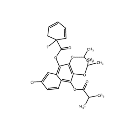 CC(C)Oc1c(OC(C)C)c(OC(=O)C2(F)C=CC=CC2)c2cc(Cl)ccc2c1OC(=O)C(C)C